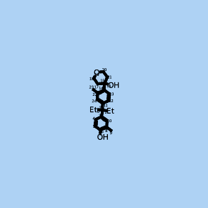 CCC(CC)(c1ccc(O)c(C)c1)c1ccc(C2(O)CCOCC2)c(C)c1